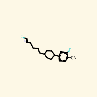 N#Cc1ccc(C2CCC(CCCC/C=C/F)CC2)cc1F